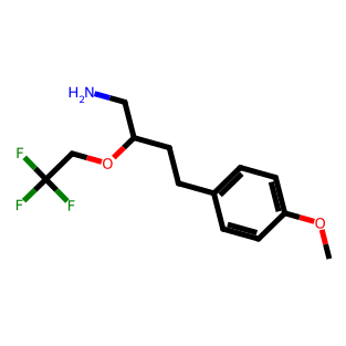 COc1ccc(CCC(CN)OCC(F)(F)F)cc1